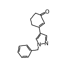 O=C1C=C(c2cnn(Cc3ccccc3)c2)CCC1